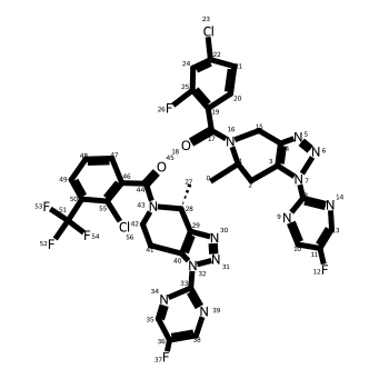 CC1Cc2c(nnn2-c2ncc(F)cn2)CN1C(=O)c1ccc(Cl)cc1F.C[C@@H]1c2nnn(-c3ncc(F)cn3)c2CCN1C(=O)c1cccc(C(F)(F)F)c1Cl